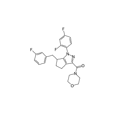 O=C(c1nn(-c2ccc(F)cc2F)c2c1CCC2Cc1cccc(F)c1)N1CCOCC1